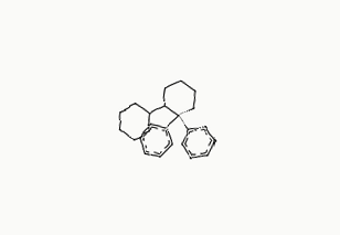 c1ccc(C2(c3ccccc3)CCCCC2C2CCCCC2)cc1